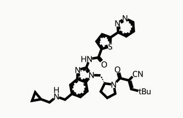 CC(C)(C)/C=C(\C#N)C(=O)N1CCC[C@@H]1Cn1c(NC(=O)c2ccc(-c3cccnn3)s2)nc2cc(CNCC3CC3)ccc21